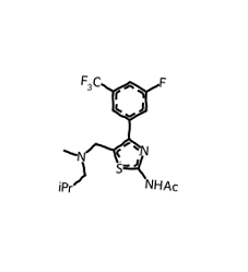 CC(=O)Nc1nc(-c2cc(F)cc(C(F)(F)F)c2)c(CN(C)CC(C)C)s1